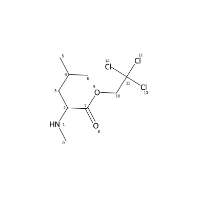 CNC(CC(C)C)C(=O)OCC(Cl)(Cl)Cl